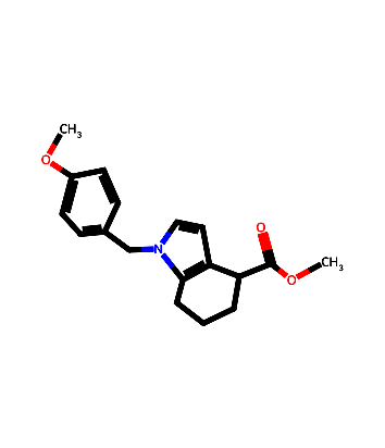 COC(=O)C1CCCc2c1ccn2Cc1ccc(OC)cc1